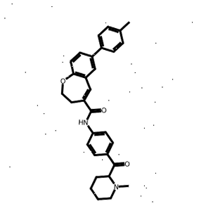 Cc1ccc(-c2ccc3c(c2)C=C(C(=O)Nc2ccc(C(=O)C4CCCCN4C)cc2)CCO3)cc1